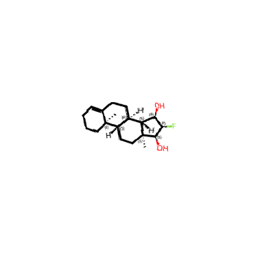 C[C@]12CC[C@H]3[C@@H](CCC4=CCCC[C@@]43C)[C@@H]1[C@@H](O)[C@@H](F)[C@H]2O